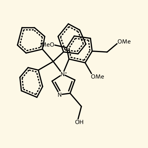 COCc1ccc(OC)c([N+]2(C(c3ccccc3)(c3ccccc3)c3ccccc3)C=NC(CO)=C2)c1OC